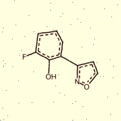 Oc1c(F)cccc1-c1ccon1